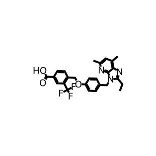 CCc1nc2c(C)cc(C)nc2n1Cc1ccc(OCc2ccc(C(=O)O)cc2C(F)(F)F)cc1